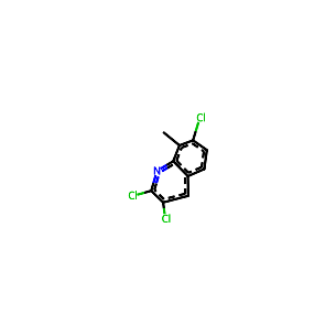 Cc1c(Cl)ccc2cc(Cl)c(Cl)nc12